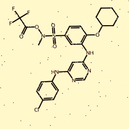 CN(OC(=O)C(F)(F)F)S(=O)(=O)c1ccc(OC2CCCCC2)c(Nc2cc(Nc3ccc(Cl)cc3)ncn2)c1